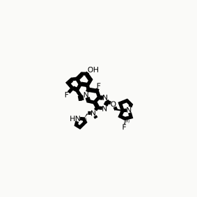 C#Cc1c(F)ccc2cc(O)cc(-c3ncc4c(N(C)C[C@@H]5CCCN5)nc(OC[C@@]56CCCN5C[C@H](F)C6)nc4c3F)c12